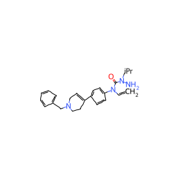 C=CN(C(=O)N(N)C(C)C)c1ccc(C2=CCN(Cc3ccccc3)CC2)cc1